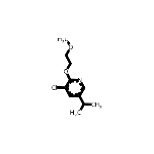 COCCOc1ncc(C(C)C)cc1Cl